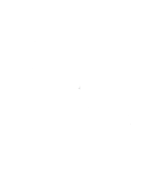 CCc1ccccc1-c1c(-c2ccccc2)ccc2c1C=C(C)C2C[SiH2]CC1C(C)=Cc2c1ccc(-c1ccccc1)c2-c1ccccc1CC